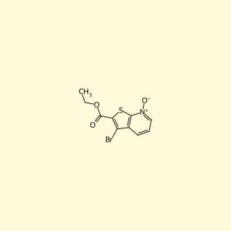 CCOC(=O)c1sc2c(ccc[n+]2[O-])c1Br